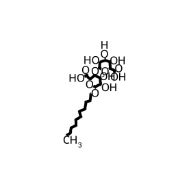 CCCCCCCCCCCCO[C@@H]1OC(C(=O)O)[C@@H](O[C@@H]2OC(C(=O)O)[C@@H](O)[C@H](O)C2O)[C@H](O)C1O